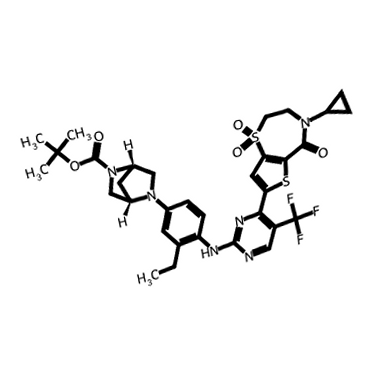 CCc1cc(N2C[C@@H]3C[C@H]2CN3C(=O)OC(C)(C)C)ccc1Nc1ncc(C(F)(F)F)c(-c2cc3c(s2)C(=O)N(C2CC2)CCS3(=O)=O)n1